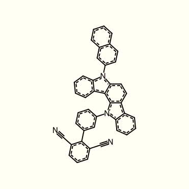 N#Cc1cccc(C#N)c1-c1cccc(-n2c3ccccc3c3ccc4c(c5ccccc5n4-c4ccc5ccccc5c4)c32)c1